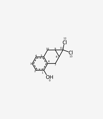 Oc1cccc2c1CC1C(C2)C1(Cl)Cl